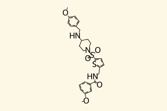 COc1ccc(CNC2CCN(S(=O)(=O)c3ccc(CNC(=O)c4cccc(OC)c4)s3)CC2)cc1